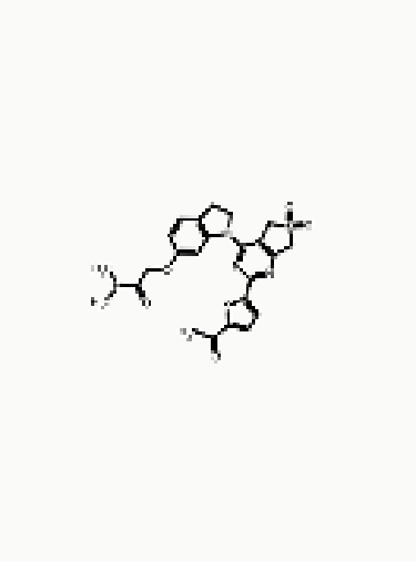 CN(C)C(=O)COc1ccc2c(c1)N(c1nc(-c3ccc(C(N)=O)s3)nc3c1CS(=O)(=O)C3)CC2